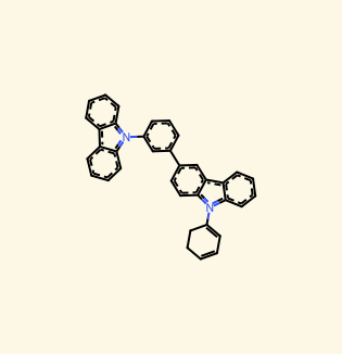 C1=CCCC(n2c3ccccc3c3cc(-c4cccc(-n5c6ccccc6c6ccccc65)c4)ccc32)=C1